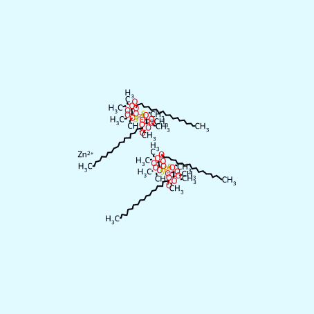 CCCCCCCCCCCCCCCCCC(=O)OC(OCC)(OCC)C(OCC)(OCC)OP(=S)([S-])OC(OCC)(OCC)C(OCC)(OCC)OC(=O)CCCCCCCCCCCCCCCCC.CCCCCCCCCCCCCCCCCC(=O)OC(OCC)(OCC)C(OCC)(OCC)OP(=S)([S-])OC(OCC)(OCC)C(OCC)(OCC)OC(=O)CCCCCCCCCCCCCCCCC.[Zn+2]